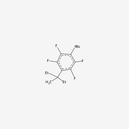 CCC(C)(CC)c1c(F)c(F)c(C(C)(C)C)c(F)c1F